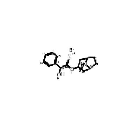 C[N+]1(C)C2CCC1CC(OC(=O)C(O)c1ccccc1)C2.[Br-]